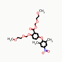 COCCOCOC(=O)c1cc(Oc2c(C)cc([N+](=O)[O-])cc2C)ccc1OCOCCOC